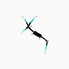 FCC#CC(F)(F)F